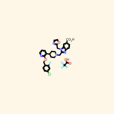 O=C(O)C(F)(F)F.O=C(O)c1ccc2nc(CN3CCC(c4cccnc4OCc4ccc(Cl)cc4F)CC3)n(Cc3ncco3)c2c1